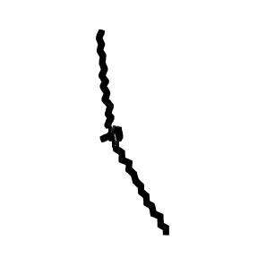 CCCCCCCCCCCCCCCCCn1cc[n+](CCCCCCCCCCCCCCCC)c1C